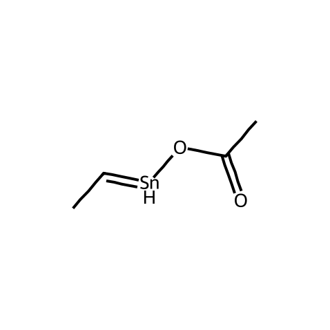 C[CH]=[SnH][O]C(C)=O